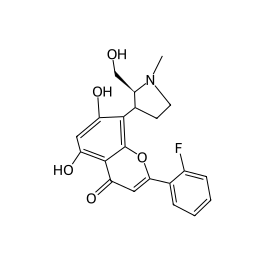 CN1CCC(c2c(O)cc(O)c3c(=O)cc(-c4ccccc4F)oc23)[C@H]1CO